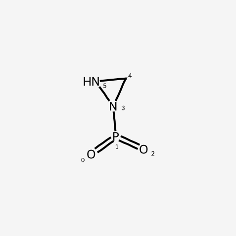 O=P(=O)N1CN1